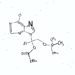 CCC(CO[Si](C)(C)C(C)(C)C)(OC(=O)C(C)(C)C)n1cnc2c(Cl)ncnc21